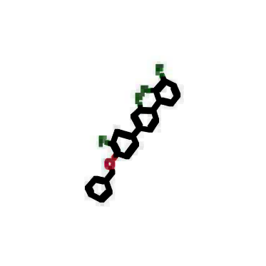 Fc1cc(-c2ccc(-c3cccc(F)c3F)c(F)c2)ccc1OCc1ccccc1